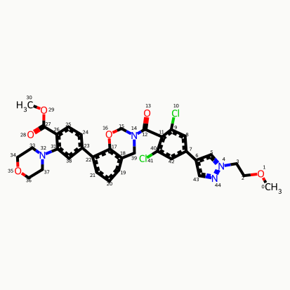 COCCn1cc(-c2cc(Cl)c(C(=O)N3COc4c(cccc4-c4ccc(C(=O)OC)c(N5CCOCC5)c4)C3)c(Cl)c2)cn1